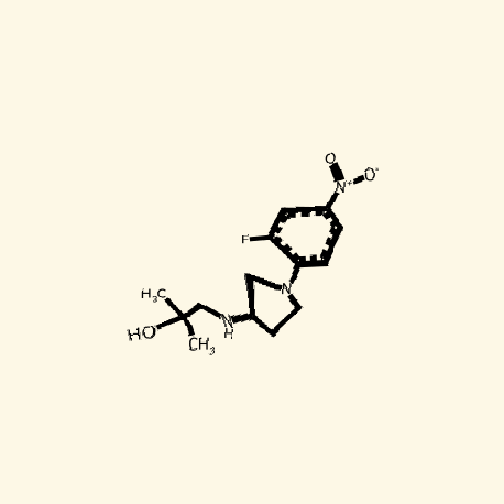 CC(C)(O)CNC1CCN(c2ccc([N+](=O)[O-])cc2F)C1